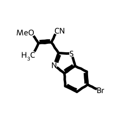 COC(C)=C(C#N)c1nc2ccc(Br)cc2s1